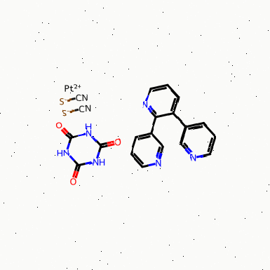 N#C[S-].N#C[S-].O=c1[nH]c(=O)[nH]c(=O)[nH]1.[Pt+2].c1cncc(-c2cccnc2-c2cccnc2)c1